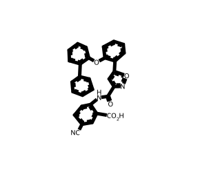 N#Cc1ccc(NC(=O)c2cc(-c3ccccc3Oc3ccccc3-c3ccccc3)on2)c(C(=O)O)c1